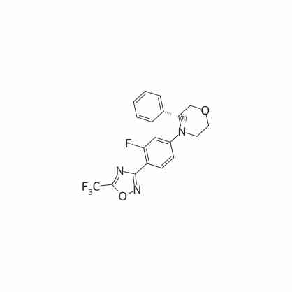 Fc1cc(N2CCOC[C@H]2c2ccccc2)ccc1-c1noc(C(F)(F)F)n1